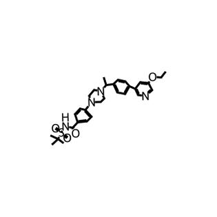 CCOc1cncc(-c2ccc(C(C)N3CCN(c4ccc(C(=O)NS(=O)(=O)C(C)(C)C)cc4)CC3)cc2)c1